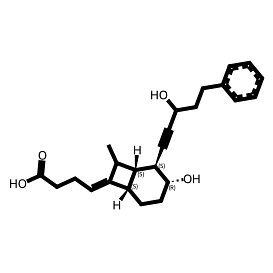 CC1C(=CCCC(=O)O)[C@H]2CC[C@@H](O)[C@H](C#CC(O)CCc3ccccc3)[C@@H]12